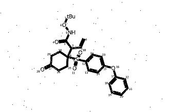 C=CC(C(=O)NOC(C)(C)C)C1(S(=O)(=O)c2ccc(Oc3ccccc3)cc2)CCC(=O)CC1